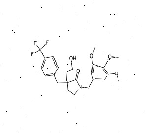 COc1cc(CN2CCC(CCO)(Cc3ccc(C(F)(F)F)cc3)C2=O)cc(OC)c1OC